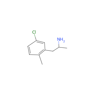 Cc1ccc(Cl)cc1CC(C)N